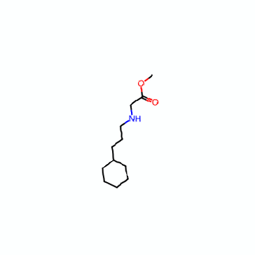 COC(=O)CNCCCC1CCCCC1